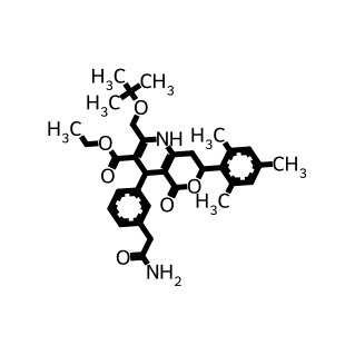 CCOC(=O)C1=C(COC(C)(C)C)NC2=C(C(=O)OC(c3c(C)cc(C)cc3C)C2)C1c1cccc(CC(N)=O)c1